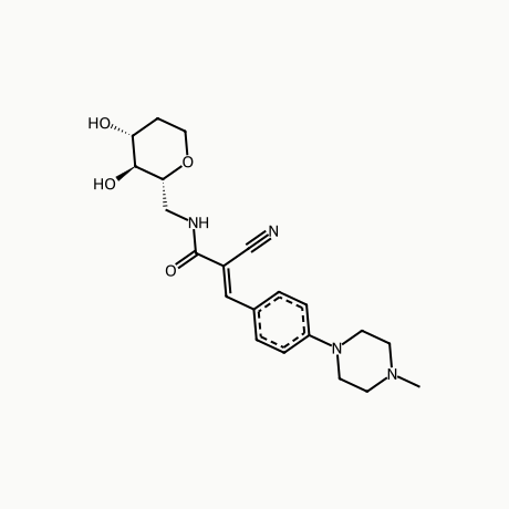 CN1CCN(c2ccc(/C=C(\C#N)C(=O)NC[C@H]3OCC[C@@H](O)[C@@H]3O)cc2)CC1